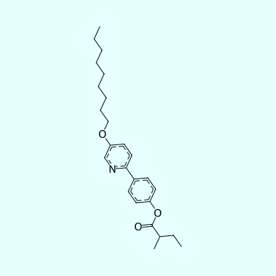 CCCCCCCCCOc1ccc(-c2ccc(OC(=O)C(C)CC)cc2)nc1